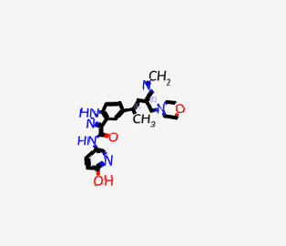 C=N/C=C(\C=C(/C)c1ccc2[nH]nc(C(=O)Nc3ccc(O)nc3)c2c1)CN1CCOCC1